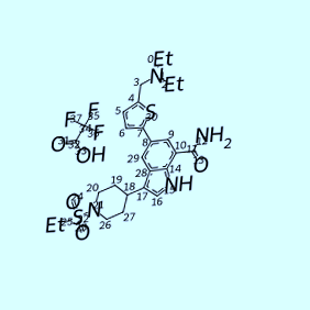 CCN(CC)Cc1ccc(-c2cc(C(N)=O)c3[nH]cc(C4CCN(S(=O)(=O)CC)CC4)c3c2)s1.O=C(O)C(F)(F)F